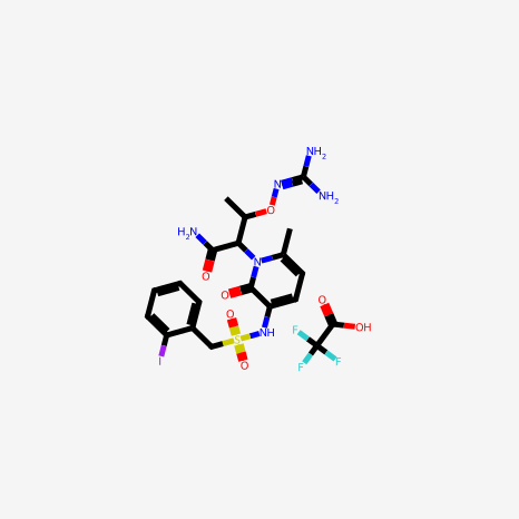 Cc1ccc(NS(=O)(=O)Cc2ccccc2I)c(=O)n1C(C(N)=O)C(C)ON=C(N)N.O=C(O)C(F)(F)F